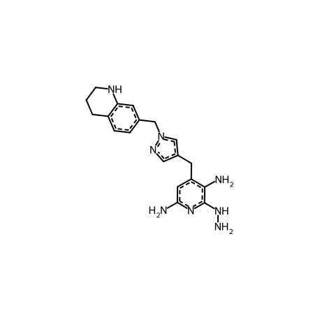 NNc1nc(N)cc(Cc2cnn(Cc3ccc4c(c3)NCCC4)c2)c1N